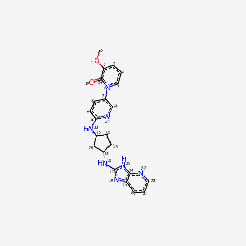 COc1cccn(-c2ccc(N[C@H]3CC[C@H](Nc4nc5cccnc5[nH]4)C3)nc2)c1=O